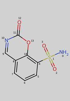 NS(=O)(=O)c1cccc2cnc(=O)oc12